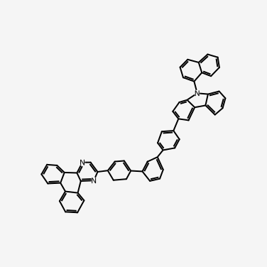 C1=C(c2cccc(-c3ccc(-c4ccc5c(c4)c4ccccc4n5-c4cccc5ccccc45)cc3)c2)CCC(c2cnc3c4ccccc4c4ccccc4c3n2)=C1